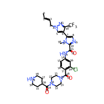 C/C=C/Cn1cc(-c2cnc(C(=O)Nc3ccc(C(=O)N4CCN(C(=O)C5CCNCC5)CC4)c(Cl)c3)n2C)c(C(F)(F)F)n1